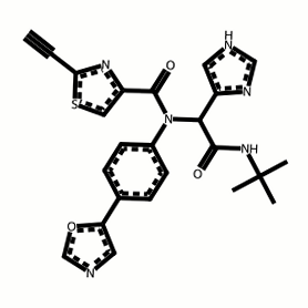 C#Cc1nc(C(=O)N(c2ccc(-c3cnco3)cc2)C(C(=O)NC(C)(C)C)c2c[nH]cn2)cs1